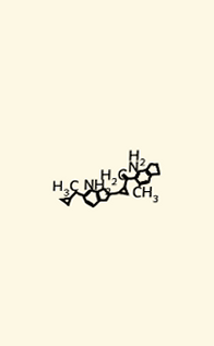 C=C(c1c(C)cc2c(c1N)CCC2)C1CC1C1Cc2ccc([C@H](C)C3CC3)c(N)c2C1